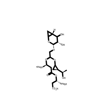 CCCCCCC[C@H](CC(=O)O)OC(=O)C[C@@H](CCCCCCC)OC(CO[C@@H]1OC2C[C@@H]2C(O)[C@@H]1O)OC1C[C@@H]1[C@@H](C)O